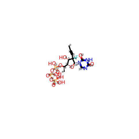 CC#CC1(F)[C@@H](O)[C@@H]([C@@H](C)OP(=O)(O)OP(=O)(O)OP(=O)(O)O)O[C@H]1n1cnc(=O)[nH]c1=O